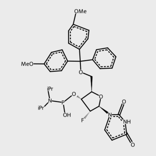 COc1ccc(C(OC[C@H]2O[C@@H](n3ccc(=O)[nH]c3=O)[C@H](F)[C@@H]2OP(O)N(C(C)C)C(C)C)(c2ccccc2)c2ccc(OC)cc2)cc1